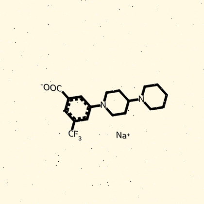 O=C([O-])c1cc(N2CCC(N3CCCCC3)CC2)cc(C(F)(F)F)c1.[Na+]